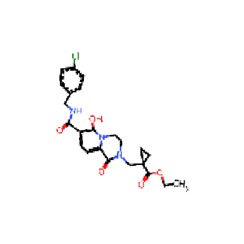 CCOC(=O)C1(CN2CCN3C(=CC=C(C(=O)NCc4ccc(Cl)cc4)C3O)C2=O)CC1